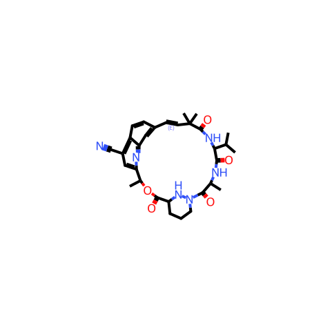 CC1NC(=O)C(C(C)C)NC(=O)C(C)(C)/C=C/c2ccc3c(C#N)cc(nc3c2)C(C)OC(=O)C2CCCN(N2)C1=O